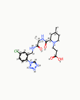 C[C@H]1CCN(CCC(=O)O)[C@@H](C(=O)N[C@@H](C)C(=O)NCc2cc(Cl)ccc2-n2cnnn2)C1